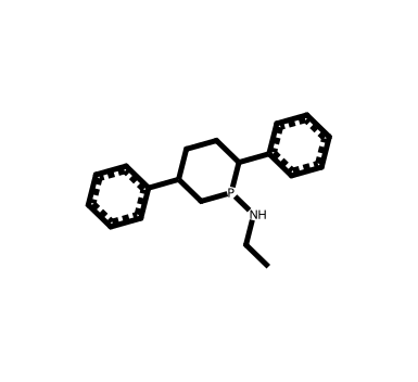 CCNP1CC(c2ccccc2)CCC1c1ccccc1